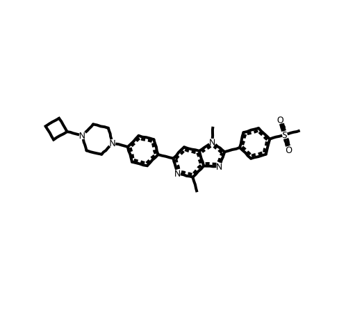 Cc1nc(-c2ccc(N3CCN(C4CCC4)CC3)cc2)cc2c1nc(-c1ccc(S(C)(=O)=O)cc1)n2C